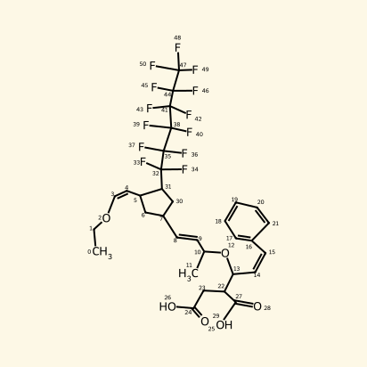 CCO/C=C\C1CC(/C=C/C(C)OC(/C=C\c2ccccc2)C(CC(=O)O)C(=O)O)CC1C(F)(F)C(F)(F)C(F)(F)C(F)(F)C(F)(F)C(F)(F)F